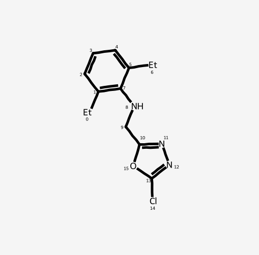 CCc1cccc(CC)c1NCc1nnc(Cl)o1